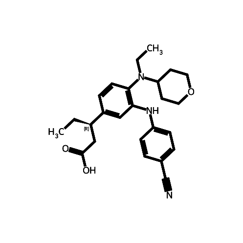 CC[C@H](CC(=O)O)c1ccc(N(CC)C2CCOCC2)c(Nc2ccc(C#N)cc2)c1